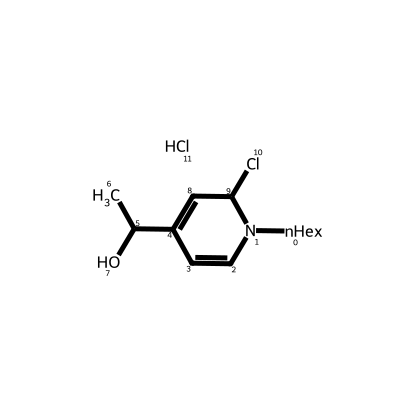 CCCCCCN1C=CC(C(C)O)=CC1Cl.Cl